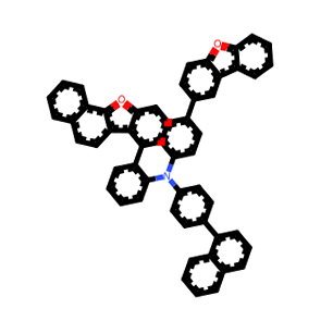 c1ccc(N(c2ccc(-c3ccc4oc5ccccc5c4c3)cc2)c2ccc(-c3cccc4ccccc34)cc2)c(-c2cccc3oc4c5ccccc5ccc4c23)c1